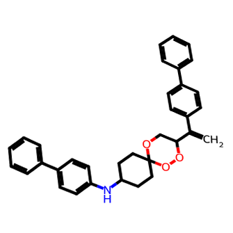 C=C(c1ccc(-c2ccccc2)cc1)C1COC2(CCC(Nc3ccc(-c4ccccc4)cc3)CC2)OO1